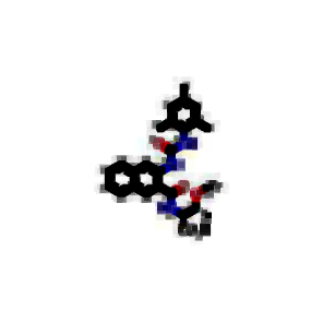 Cc1cc(C)c(NC(=O)Nc2cc3ccccc3cc2C(=O)N[C@H](C(=O)O)[C@@H](C)OC(C)C)c(C)c1